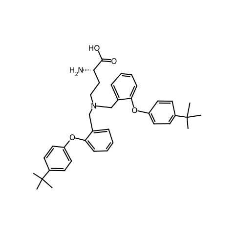 CC(C)(C)c1ccc(Oc2ccccc2CN(CC[C@H](N)C(=O)O)Cc2ccccc2Oc2ccc(C(C)(C)C)cc2)cc1